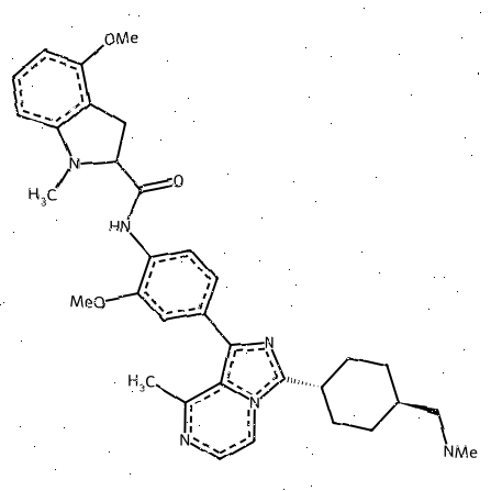 CNC[C@H]1CC[C@H](c2nc(-c3ccc(NC(=O)C4Cc5c(OC)cccc5N4C)c(OC)c3)c3c(C)nccn32)CC1